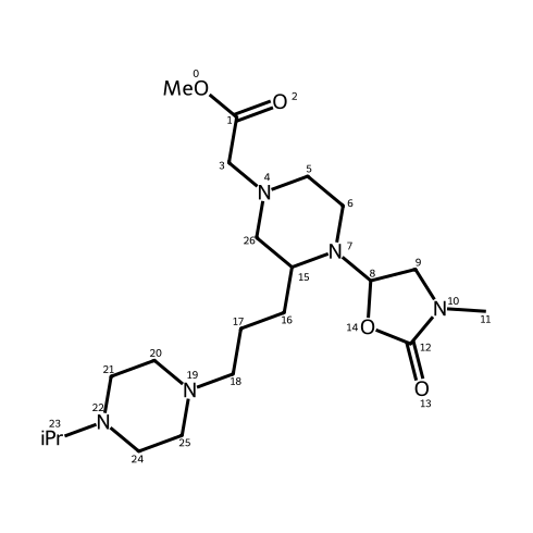 COC(=O)CN1CCN(C2CN(C)C(=O)O2)C(CCCN2CCN(C(C)C)CC2)C1